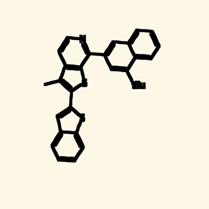 Cc1c(-c2cc3ccccc3s2)sc2c(-c3cc(C(C)(C)C)c4ccccc4c3)nccc12